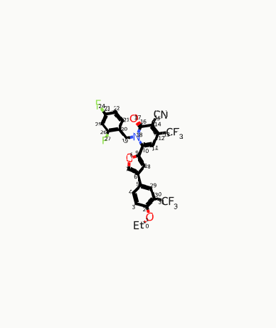 CCOc1ccc(-c2coc(-c3cc(C(F)(F)F)c(C#N)c(=O)n3Cc3ccc(F)cc3F)c2)cc1C(F)(F)F